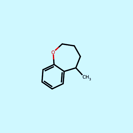 CC1CCCOc2ccccc21